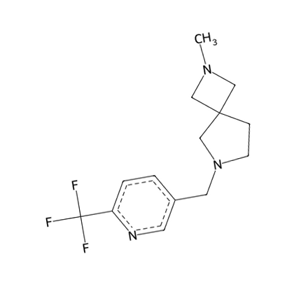 CN1CC2(CCN(Cc3ccc(C(F)(F)F)nc3)C2)C1